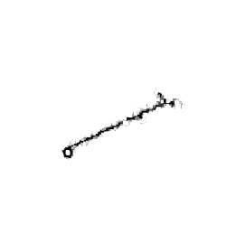 CCO[Si](C)(CCCNCCC(=O)OCCOCCOCCOCCOCCOCCOc1ccccc1)OCC